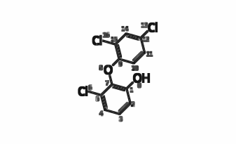 Oc1cccc(Cl)c1Oc1ccc(Cl)cc1Cl